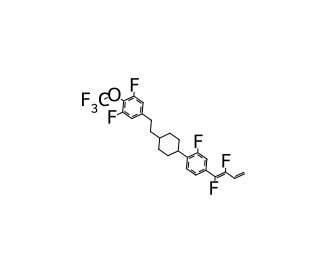 C=C/C(F)=C(\F)c1ccc(C2CCC(CCc3cc(F)c(OC(F)(F)F)c(F)c3)CC2)c(F)c1